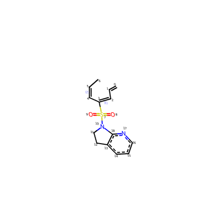 C=C/C=C(\C=C/C)S(=O)(=O)N1CCc2cccnc21